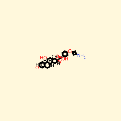 C[C@]12C=CC(=O)C=C1CC[C@@H]1[C@@H]2[C@@H](O)C[C@@]2(C)[C@H]1C[C@H]1O[C@@H](c3ccc(OC45CC(N)(C4)C5)cc3)O[C@]12C(=O)CO